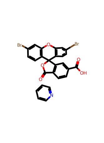 O=C(O)c1ccc2c(c1)C1(OC2=O)c2ccc(Br)cc2Oc2cc(Br)ccc21.c1ccncc1